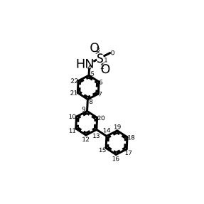 CS(=O)(=O)Nc1ccc(-c2cccc(-c3ccccc3)c2)cc1